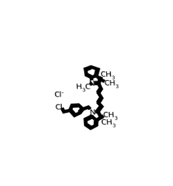 C[N+]1=C(C=CC=CC=C2N(Cc3ccc(CCl)cc3)c3ccccc3C2(C)C)C(C)(C)c2ccccc21.[Cl-]